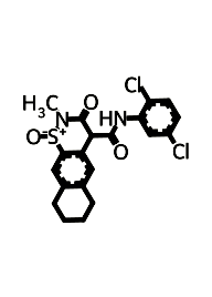 CN1C(=O)C(C(=O)Nc2cc(Cl)ccc2Cl)c2cc3c(cc2[S+]1[O-])CCCC3